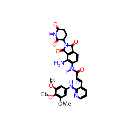 CCOc1cc(Nc2ncccc2/C=C/C(=O)N(I)c2ccc3c(c2N)C(=O)N(C2CCC(=O)N(I)C2=O)C3=O)cc(OC)c1OCC